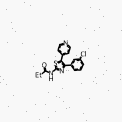 CCC(=O)Nc1nc(-c2cccc(Cl)c2)c(-c2ccncc2)s1